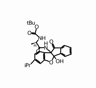 CC(C)c1ccc2c(c1)OC1(O)c3ccccc3C(=O)C21NC(=O)[C@@H](C)NC(=O)OC(C)(C)C